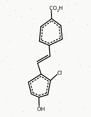 O=C(O)c1ccc(/C=C/c2ccc(O)cc2Cl)cc1